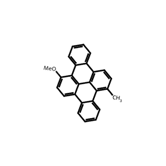 COc1ccc2c3ccccc3c3c(C)ccc4c5ccccc5c1c2c43